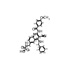 COc1ccc(C(=O)Nc2nc3ccc(CNS(=O)(=O)O)cc3c(NCc3ccccc3)c2C#N)cc1